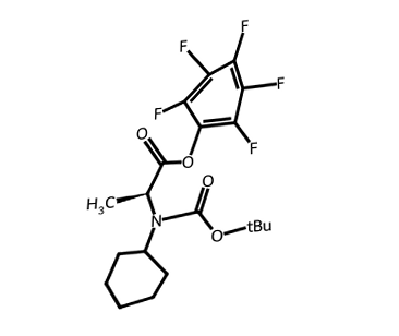 C[C@@H](C(=O)Oc1c(F)c(F)c(F)c(F)c1F)N(C(=O)OC(C)(C)C)C1CCCCC1